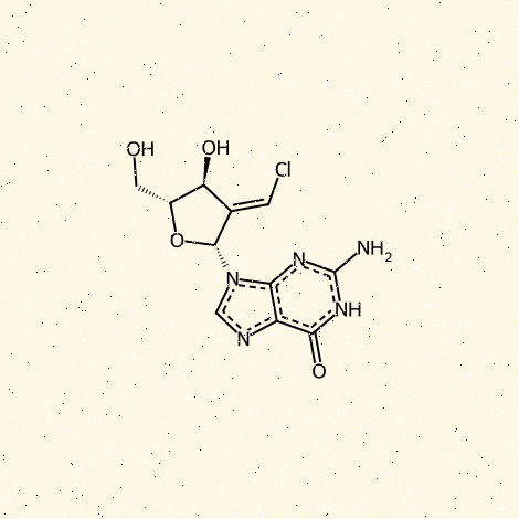 Nc1nc2c(ncn2[C@@H]2O[C@H](CO)[C@@H](O)C2=CCl)c(=O)[nH]1